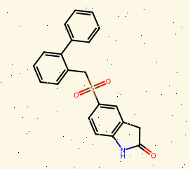 O=C1Cc2cc(S(=O)(=O)Cc3ccccc3-c3ccccc3)ccc2N1